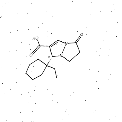 CCC1([C@@H]2C(C(=O)O)=CN3C(=O)CCN23)CCCCC1